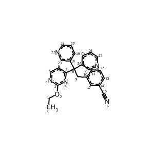 CCOc1nccc(C(Cc2cccc(C#N)c2)(c2cccnc2)c2cccnc2)n1